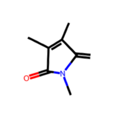 C=C1C(C)=C(C)C(=O)N1C